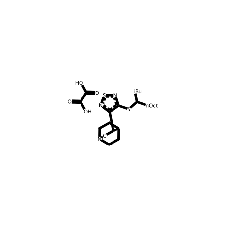 CCCCCCCCC(Sc1nsnc1C1CN2CCC1CC2)C(C)CC.O=C(O)C(=O)O